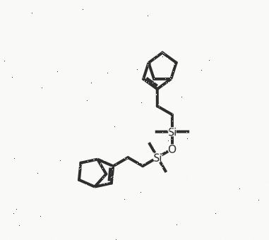 C[Si](C)(CCC1=CC2CCC1C2)O[Si](C)(C)CCC1=CC2CCC1C2